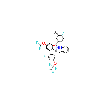 O=C(N[C@](Cc1ccccc1)(c1ccc(OC(F)F)cc1)c1cc(F)cc(OC(F)(F)C(F)F)c1)c1ccc(F)c(C(F)(F)F)c1